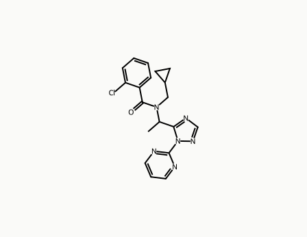 CC(c1ncnn1-c1ncccn1)N(CC1CC1)C(=O)c1ccccc1Cl